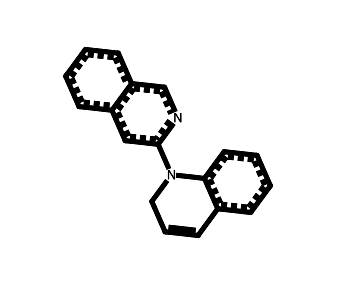 C1=Cc2ccccc2N(c2cc3ccccc3cn2)C1